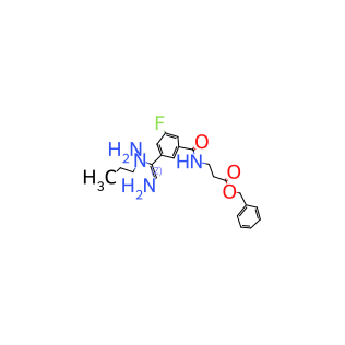 CCCN(N)/C(=C\N)c1cc(F)cc(C(=O)NCCC(=O)OCc2ccccc2)c1